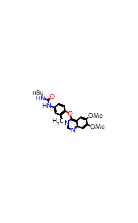 CCCCNC(=O)Nc1ccc(Oc2ncnc3cc(OC)c(OC)cc23)c(C)c1